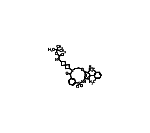 Cc1cccc(C)c1-c1nc2nc(c1C)OCCN(C1CC3(CC(NC(=O)OC(C)(C)C)C3)C1)C(=O)c1cccc(c1)S(=O)(=O)N2